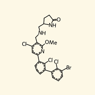 COc1nc(-c2cccc(-c3cccc(Br)c3Cl)c2Cl)cc(Cl)c1CNCC1CCC(=O)N1